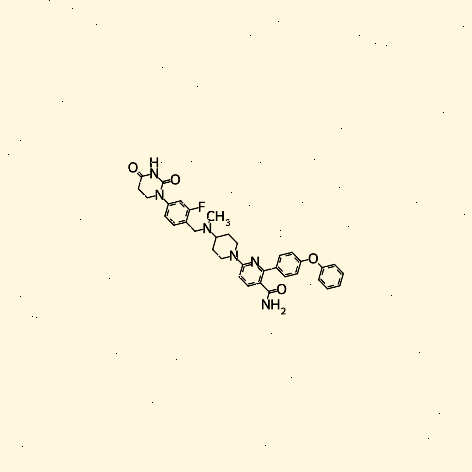 CN(Cc1ccc(N2CCC(=O)NC2=O)cc1F)C1CCN(c2ccc(C(N)=O)c(-c3ccc(Oc4ccccc4)cc3)n2)CC1